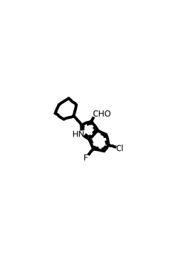 O=Cc1c(C2CCCCC2)[nH]c2c(F)cc(Cl)cc12